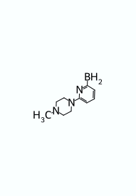 Bc1cccc(N2CCN(C)CC2)n1